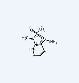 CN(C1=C(CN)C=CCN1)S(C)(=O)=O